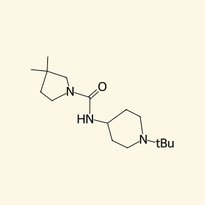 CC1(C)CCN(C(=O)NC2CCN(C(C)(C)C)CC2)C1